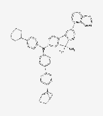 CC1(C)c2ccc(-c3cccc4ccccc34)cc2-c2ccc(N(c3ccc(-c4ccc(C5CC6CCC5C6)cc4)cc3)c3ccc(C4CCCCC4)cc3)cc21